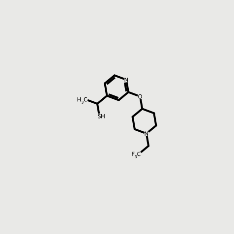 CC(S)c1ccnc(OC2CCN(CC(F)(F)F)CC2)c1